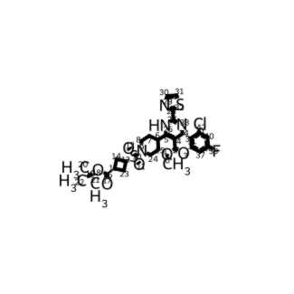 COC(=O)C1=C(C2CCN(S(=O)(=O)[C@H]3C[C@H](C(=O)OC(C)(C)C)C3)CC2)NC(c2nccs2)=N[C@@H]1c1ccc(F)cc1Cl